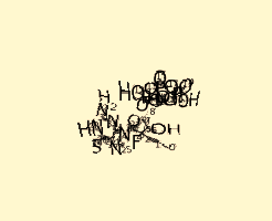 CC#CC1(F)[C@@H](O)[C@@H](COP(=O)(O)OP(=O)(O)OP(=O)(O)O)O[C@H]1n1cnc2c(=S)[nH]c(N)nc21